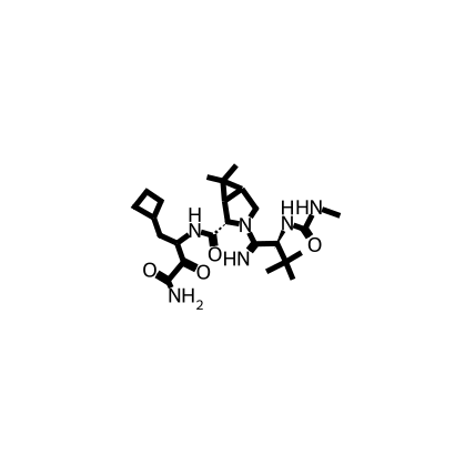 CNC(=O)N[C@H](C(=N)N1CC2C([C@H]1C(=O)NC(CC1CCC1)C(=O)C(N)=O)C2(C)C)C(C)(C)C